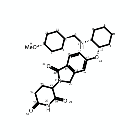 CO[C@H]1CC[C@H](CN[C@@H]2CCCC[C@@H]2Oc2ccc3c(c2)CN(C2CCC(=O)NC2=O)C3=O)CC1